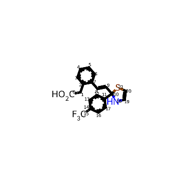 O=C(O)Cc1ccccc1/C=C/C1(c2ccc(C(F)(F)F)cc2)NC=CS1